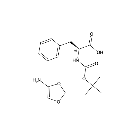 CC(C)(C)OC(=O)N[C@@H](Cc1ccccc1)C(=O)O.NC1=COCO1